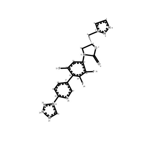 O=C1O[C@@H](Cn2ccnn2)CN1c1cc(F)c(-c2ccc(-n3cnnn3)nc2)c(F)c1F